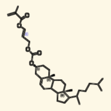 C=C(C)C(=O)O/C=C/COC(=O)O[C@H]1CC[C@@]2(C)C(=CCC3C4CCC(C(C)CCCC(C)C)[C@@]4(C)CCC32)C1